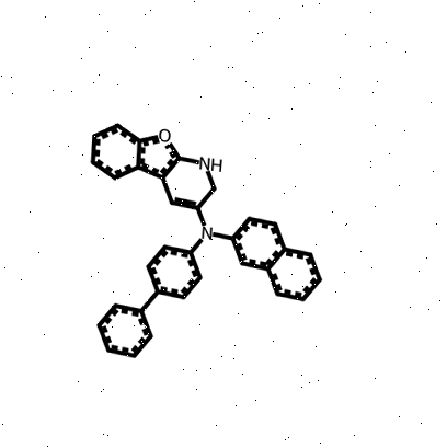 C1=C(N(c2ccc(-c3ccccc3)cc2)c2ccc3ccccc3c2)CNc2oc3ccccc3c21